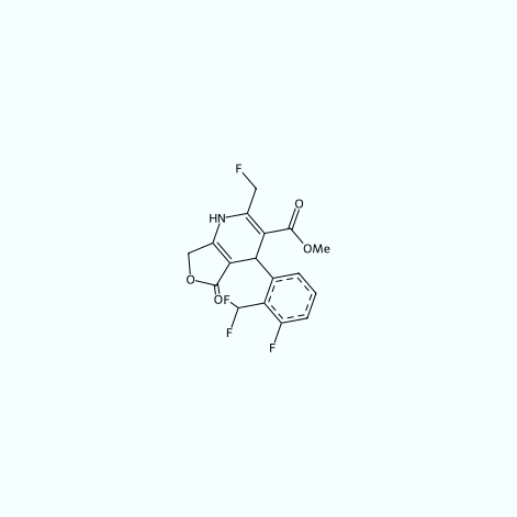 COC(=O)C1=C(CF)NC2=C(C(=O)OC2)C1c1cccc(F)c1C(F)F